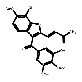 COc1cc(C(=O)c2c(/C=C/C(N)=O)oc3c(O)c(OC)ccc23)cc(O)c1OC